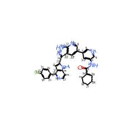 O=C(Nc1cncc(-c2cnc3[nH]nc(-c4cc5c(-c6ccc(F)cc6)nccc5[nH]4)c3c2)c1)C1CCCCC1